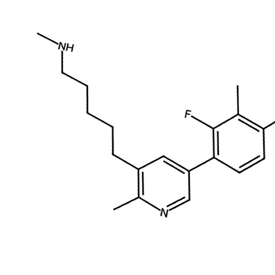 CNCCCCCc1cc(-c2ccc(C)c(C)c2F)cnc1C